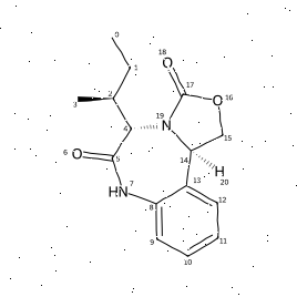 CC[C@H](C)[C@H]1C(=O)Nc2ccccc2[C@@H]2COC(=O)N12